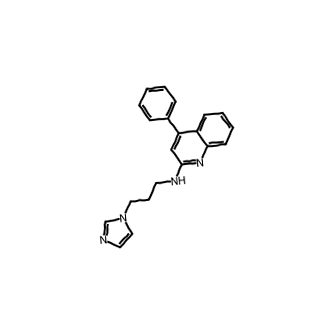 c1ccc(-c2cc(NCCCn3ccnc3)nc3ccccc23)cc1